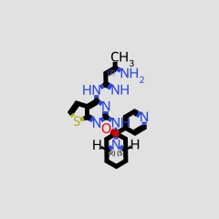 C/C(N)=C/C(=N)Nc1nc(N[C@@H]2C[C@H]3CCC[C@@H](C2)N3C(=O)c2ccncc2)nc2sccc12